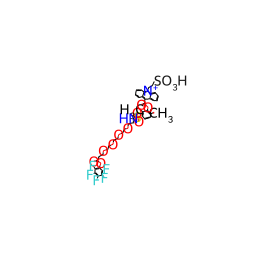 Cc1ccc(S(=O)(=O)NCCOCCOCCOCCOCCC(=O)Oc2c(F)c(F)c(F)c(F)c2F)c(C)c1OC(=O)c1c2ccccc2[n+](CCCS(=O)(=O)O)c2ccccc12